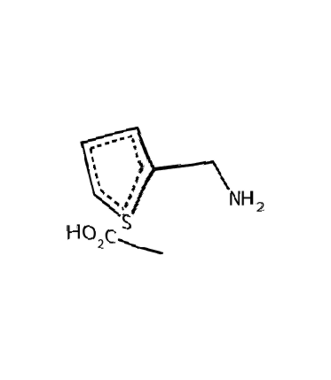 CC(=O)O.NCc1cccs1